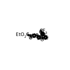 CCOC(=O)CCC(=O)N1CCC(Oc2cccc(NC(=O)c3ccccc3-c3ccc(OC(F)(F)F)cc3)c2)CC1